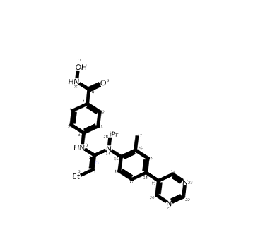 CC/C=C(\Nc1ccc(C(=O)NO)cc1)N(c1ccc(-c2cncnc2)cc1C)C(C)C